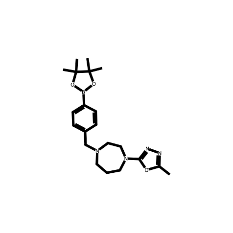 Cc1nnc(N2CCCN(Cc3ccc(B4OC(C)(C)C(C)(C)O4)cc3)CC2)o1